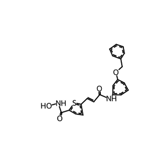 O=C(C=Cc1ccc(C(=O)NO)s1)Nc1cccc(OCc2ccccc2)c1